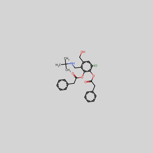 CC(C)(C)NCc1c(CO)ccc(OC(=O)Cc2ccccc2)c1OC(=O)Cc1ccccc1.Cl